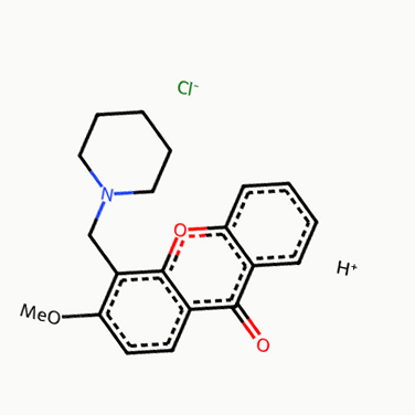 COc1ccc2c(=O)c3ccccc3oc2c1CN1CCCCC1.[Cl-].[H+]